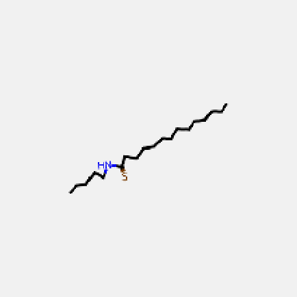 CCCCCCCCCCCCCC(=S)NCCCCC